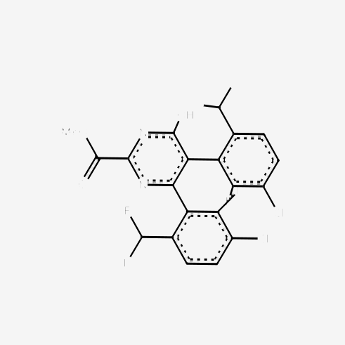 COC(=O)c1nc(O)c(-c2c(C(F)F)ccc(Cl)c2F)c(-c2c(C(F)F)ccc(Cl)c2F)n1